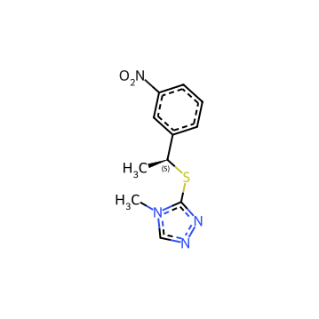 C[C@H](Sc1nncn1C)c1cccc([N+](=O)[O-])c1